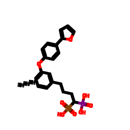 O=P(O)(O)C(CCCc1cccc(Oc2ccc(-c3ccco3)cc2)c1)S(=O)(=O)O.[KH].[KH].[KH]